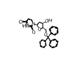 O=c1ccn([C@H]2C[C@@H](O)[C@@H](COC(c3ccccc3)(c3ccccc3)c3ccccc3)O2)c(=O)[nH]1